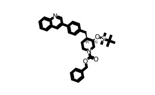 CC(C)(C)[Si](C)(C)O[C@@H]1CN(C(=O)OCc2ccccc2)CC[C@H]1Cc1ccc(-c2cnc3ccccc3c2)cc1